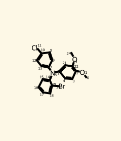 COc1ccc(N(c2ccc(Cl)cc2)c2ccccc2Br)cc1OC